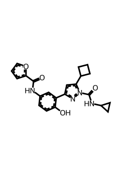 O=C(Nc1ccc(O)c(-c2cc(C3CCC3)n(C(=O)NC3CC3)n2)c1)c1ccco1